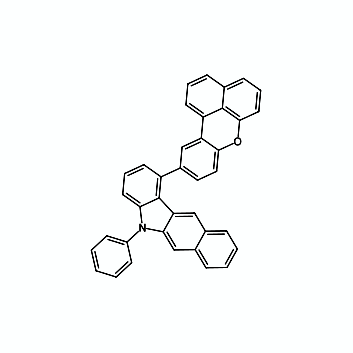 c1ccc(-n2c3cc4ccccc4cc3c3c(-c4ccc5c(c4)-c4cccc6cccc(c46)O5)cccc32)cc1